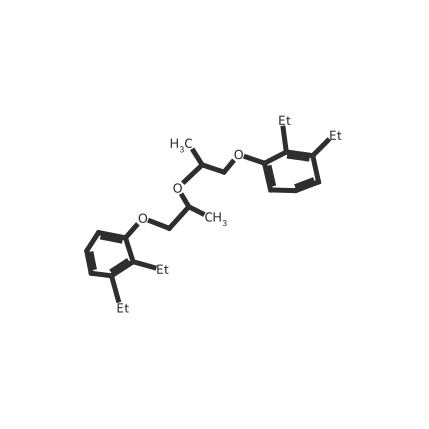 CCc1cccc(OCC(C)OC(C)COc2cccc(CC)c2CC)c1CC